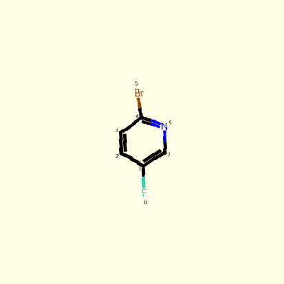 Fc1c[c]c(Br)nc1